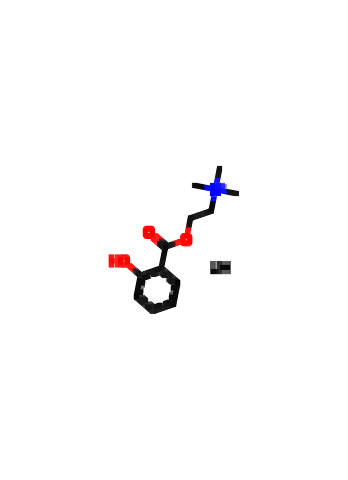 C[N+](C)(C)CCOC(=O)c1ccccc1O.[LiH]